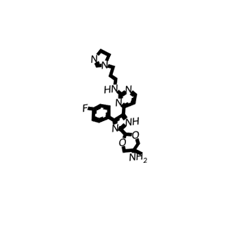 CC1(N)COC(c2nc(-c3ccc(F)cc3)c(-c3ccnc(NCCCN4C=NCC4)n3)[nH]2)OC1